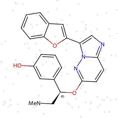 CNC[C@H](Oc1ccc2ncc(-c3cc4ccccc4o3)n2n1)c1cccc(O)c1